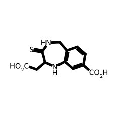 O=C(O)CC1Nc2cc(C(=O)O)ccc2CNC1=S